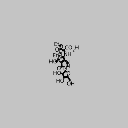 CCOP(=O)(OCC)C(Nc1nn(O)c2c(=O)n(C3OC(CO)C(O)C3O)nnc12)C(=O)O